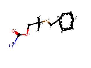 CC(C)(COC(N)=O)SCc1ccccc1